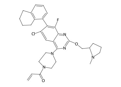 C=CC(=O)N1CCN(c2nc(OCC3CCCN3C)nc3c(F)c(-c4cccc5c4CCCC5)c(Cl)cc23)CC1